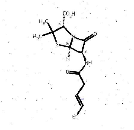 CC/C=C/CC(=O)N[C@@H]1C(=O)N2[C@@H]1SC(C)(C)[C@@H]2C(=O)O